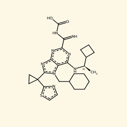 C[C@@H](Nc1nc(C(=N)NC(=O)O)nc2nc(C3(c4nccs4)CC3)n(CC3CCCCC3)c12)C1CCC1